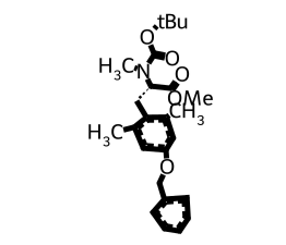 COC(=O)[C@H](Cc1c(C)cc(OCc2ccccc2)cc1C)N(C)C(=O)OC(C)(C)C